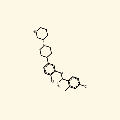 C[C@@H](Nc1cc(C2CCN([C@H]3CCCNC3)CC2)ccc1Cl)c1ccc(Cl)cc1Cl